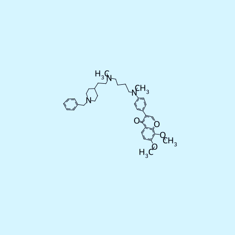 COc1ccc2c(=O)c(-c3ccc(N(C)CCCCN(C)CCC4CCN(Cc5ccccc5)CC4)cc3)coc2c1OC